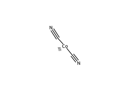 N#[C][Co][C]#N.[Ti]